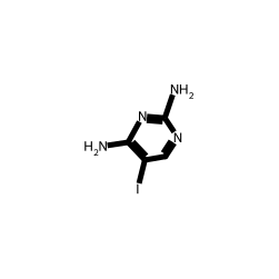 Nc1ncc(I)c(N)n1